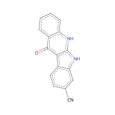 N#Cc1ccc2c(c1)[nH]c1[nH]c3ccccc3c(=O)c12